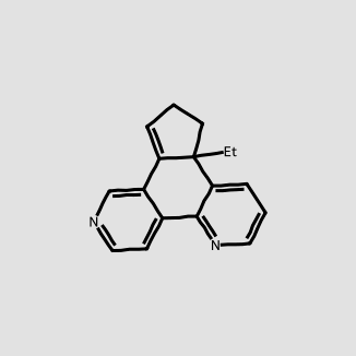 CCC12CCC=C1c1cnccc1-c1ncccc12